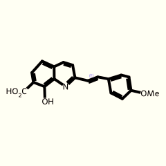 COc1ccc(/C=C/c2ccc3ccc(C(=O)O)c(O)c3n2)cc1